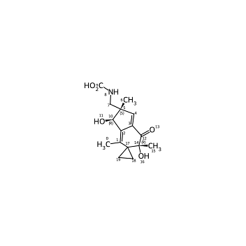 CC1=C2C(=C[C@@](C)(CNC(=O)O)[C@@H]2O)C(=O)[C@](C)(O)C12CC2